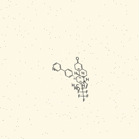 C[C@]12C[C@H](c3ccc(-c4cccnc4)cc3)[C@H]3[C@@H](CCC4=CC(=O)CC[C@@H]43)[C@@H]1C=C[C@@]2(O)C(F)(F)C(F)(F)F